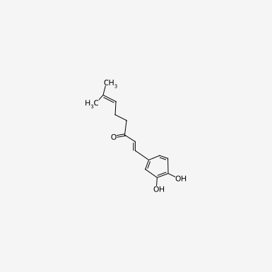 CC(C)=CCCC(=O)C=Cc1ccc(O)c(O)c1